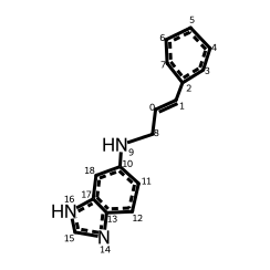 C(=Cc1ccccc1)CNc1ccc2nc[nH]c2c1